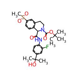 CC(C)(C)OC(=O)N1CCc2cc(S(C)(=O)=O)ccc2C1C(=O)Nc1ccc(C(C)(C)O)cc1F